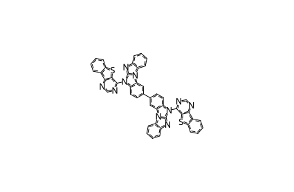 c1ccc2c(c1)nc1n(-c3ncnc4c3sc3ccccc34)c3ccc(-c4ccc5c(c4)n4c6ccccc6nc4n5-c4ncnc5c4sc4ccccc45)cc3n21